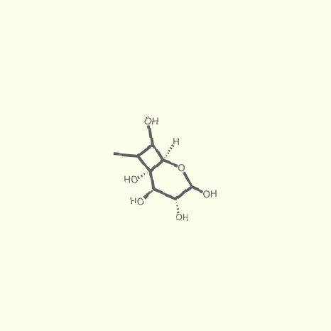 CC1C(O)[C@H]2OC(O)[C@H](O)[C@@H](O)[C@@]12O